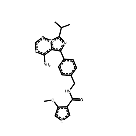 COc1cscc1C(=O)NCc1ccc(-c2nc(C(C)C)n3ncnc(N)c23)cc1